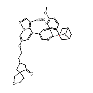 COc1ccc(CN2C3CC2CN(c2ccc(-c4cc(OCCC5CC(=O)C6(CCOC6)C5)cn5ncc(C#N)c45)cn2)C3)cn1